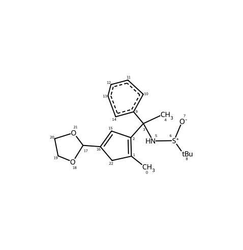 CC1=C(C(C)(N[S+]([O-])C(C)(C)C)c2ccccc2)C=C(C2OCCO2)C1